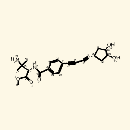 COC(=O)[C@@H](NC(=O)c1ccc(C#CC#C[C@@H]2C[C@@H](O)[C@@H](O)C2)cc1)C(C)(C)N